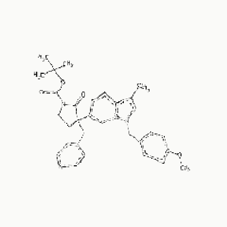 COc1ccc(Cn2cc(C)c3ccc(C4(Cc5ccncc5)CCN(C(=O)OC(C)(C)C)C4=O)cc32)cc1